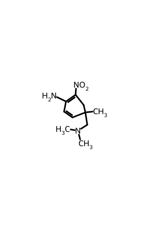 CN(C)CC1(C)C=CC(N)=C([N+](=O)[O-])C1